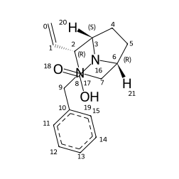 C=C[C@@H]1[C@@H]2CC[C@H](CN1Cc1ccccc1)N2C(=O)O